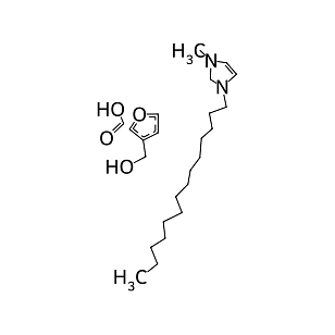 CCCCCCCCCCCCCCN1C=CN(C)C1.O=CO.OCc1ccoc1